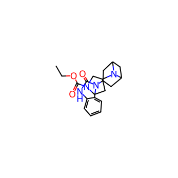 CCOC(=O)N1CCC(N2C3CC2CC(n2c(=O)[nH]c4ccccc42)C3)C1